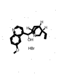 Br.C=C[C@@H]1CN2CC[C@H]1C[C@H]2[C@H](O)c1ccnc2ccc(OC)cc12